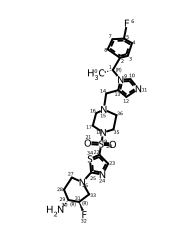 C[C@H](c1ccc(F)cc1)n1cncc1CN1CCN(S(=O)(=O)c2cnc(N3CC[C@@H](N)[C@H](F)C3)s2)CC1